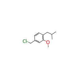 COc1cc(CCl)ccc1CC(C)C